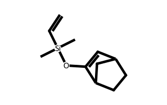 C=C[Si](C)(C)OC1=CC2CCC1C2